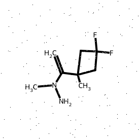 C=C(N(C)N)C1(C)CC(F)(F)C1